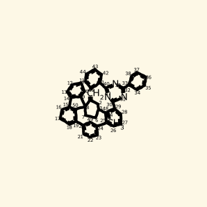 C=C1CC(CC)CCC12c1ccccc1-c1cccc(-c3cccc(-c4cccc(-c5nc(-c6ccccc6)nc(-c6ccccc6)n5)c4)c3)c12